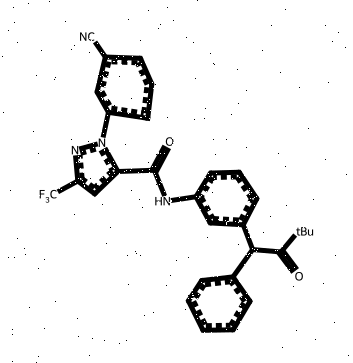 CC(C)(C)C(=O)C(c1ccccc1)c1cccc(NC(=O)c2cc(C(F)(F)F)nn2-c2cccc(C#N)c2)c1